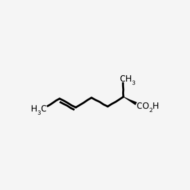 CC=CCC[C@@H](C)C(=O)O